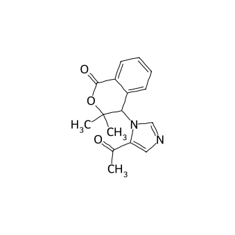 CC(=O)c1cncn1C1c2ccccc2C(=O)OC1(C)C